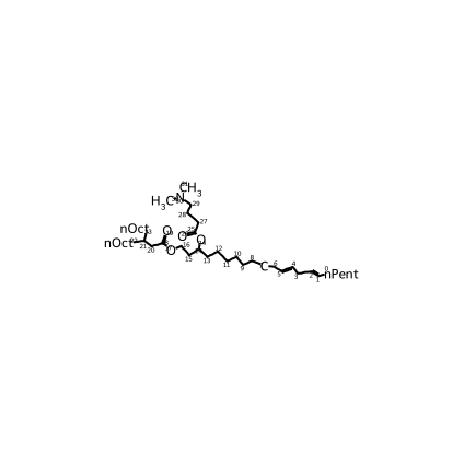 CCCCCC=CCC=CCCCCCCCCC(CCOC(=O)CC(CCCCCCCC)CCCCCCCC)OC(=O)CCCN(C)C